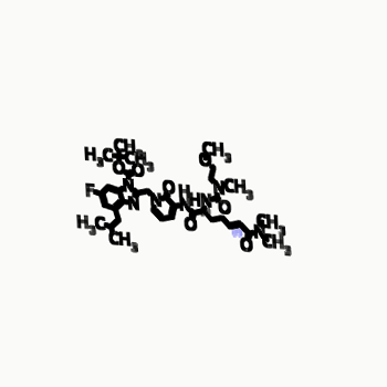 COCCN(C)C(=O)N[C@@H](CC/C=C/C(=O)N(C)C)C(=O)Nc1cccn(Cc2nc3c(CC(C)C)cc(F)cc3n2C(=O)OC(C)(C)C)c1=O